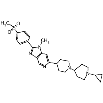 Cn1c(-c2ccc(S(C)(=O)=O)cc2)nc2cnc(C3CCN(C4CCN(C5CC5)CC4)CC3)cc21